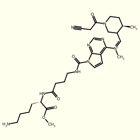 COC(=O)[C@H](CCCCN)NC(=O)CCCNC(=O)n1ccc2c(/[N+](C)=C\C3CN(C(=O)CC#N)CC[C@H]3C)ncnc21